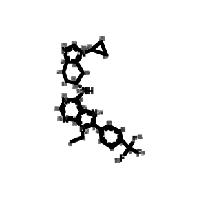 CCn1c(-c2ccc(C(F)(F)F)cc2)nc2c(N[C@@H]3CCc4ncn(C5CC5)c4C3)ncnc21